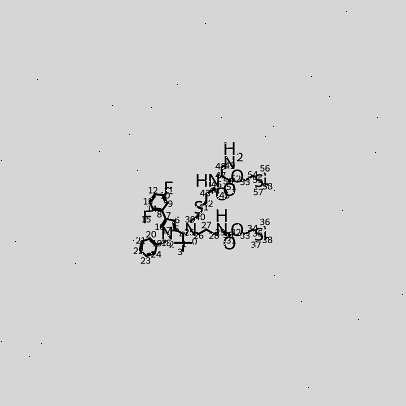 CC(C)(C)[C@H](c1cc(-c2cc(F)ccc2F)cn1Cc1ccccc1)N(CCCNC(=O)OCC[Si](C)(C)C)CCSCCC(=O)NC(CN)C(=O)OCC[Si](C)(C)C